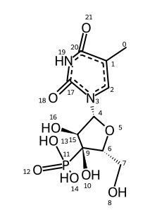 Cc1cn([C@@H]2O[C@H](CO)[C@](O)(P(=O)(O)O)[C@H]2O)c(=O)[nH]c1=O